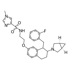 Cn1cnc(S(=O)(=O)NCCOc2ccc3c(c2)C(Cc2ccccc2F)C(N2C[C@H]4C[C@H]4C2)CC3)c1